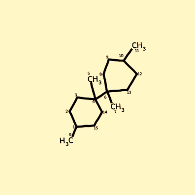 CC1CCC(C)(C2(C)CCC(C)CC2)CC1